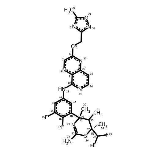 Cc1nc(COc2cnc3c(Nc4cc(F)c(F)c([C@@]5(C)N=C(N)S[C@](C)(C(F)F)C5C)c4)nccc3n2)no1